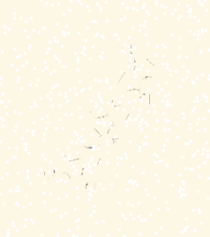 Clc1cc(Cl)c2ccc(-c3cc(Cl)c4cc(-c5ccc6c(Cl)cccc6c5Cl)ccc4c3Cl)cc2c1